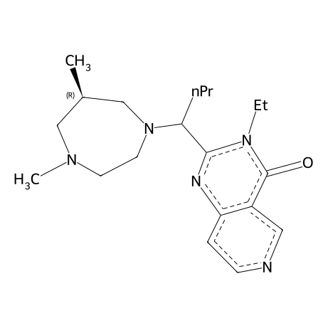 CCCC(c1nc2ccncc2c(=O)n1CC)N1CCN(C)C[C@@H](C)C1